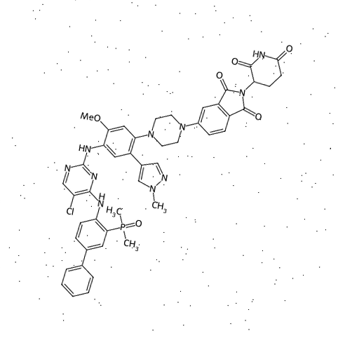 COc1cc(N2CCN(c3ccc4c(c3)C(=O)N(C3CCC(=O)NC3=O)C4=O)CC2)c(-c2cnn(C)c2)cc1Nc1ncc(Cl)c(Nc2ccc(-c3ccccc3)cc2P(C)(C)=O)n1